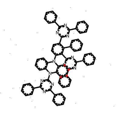 c1ccc(-c2nc(-c3ccccc3)nc(-c3ccc(N4c5ccccc5N(c5nc(-c6ccccc6)nc(-c6ccccc6)n5)c5ccccc54)c(-c4nc(-c5ccccc5)nc(-c5ccccc5)n4)c3-c3ccccc3)n2)cc1